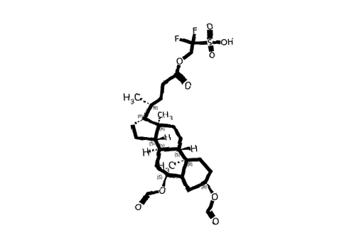 C[C@H](CCC(=O)OCC(F)(F)S(=O)(=O)O)[C@H]1CC[C@H]2[C@@H]3C[C@H](OC=O)C4C[C@H](OC=O)CC[C@]4(C)[C@H]3CC[C@]12C